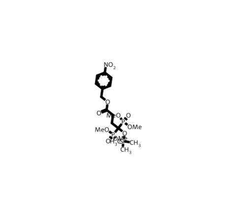 COP(=O)(OC)C(CCC(=O)OCc1ccc([N+](=O)[O-])cc1)(O[Si](C)(C)C)P(=O)(OC)OC